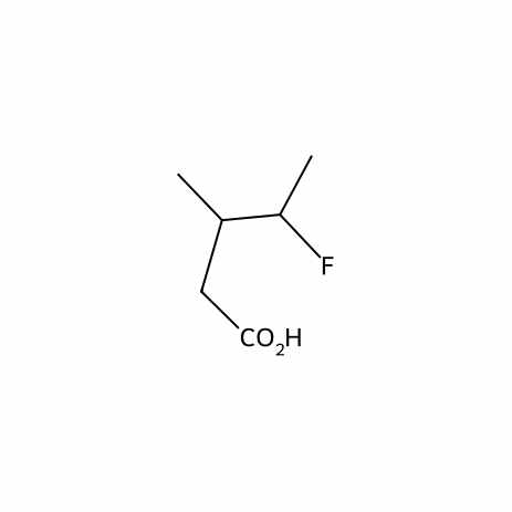 CC(F)C(C)CC(=O)O